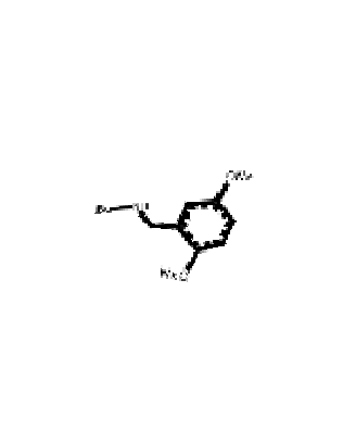 COc1ccc(OC)c(CNC(C)(C)C)c1